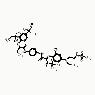 CCC(Oc1ccc(C(C)(C)CC)cc1C(C)(C)CC)C(=O)Nc1ccc(NC(=O)C(=Nc2ccc(N(CC)CCNS(C)(=O)=O)cc2C)C(=O)C(C)(C)C)cc1